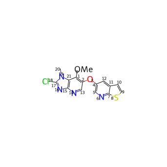 COc1c(Oc2cnc3sccc3c2)cnc2nc(Cl)n(C)c12